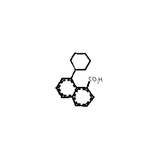 O=C(O)c1cccc2cccc(C3CCCCC3)c12